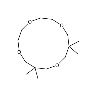 CC1(C)COCCOCCOCC(C)(C)COC1